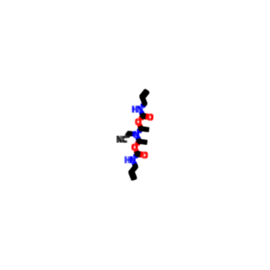 C=CCNC(=O)OC(C)N(CC#N)C(C)OC(=O)NCC=C